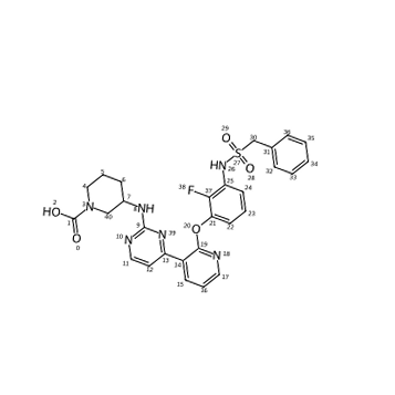 O=C(O)N1CCCC(Nc2nccc(-c3cccnc3Oc3cccc(NS(=O)(=O)Cc4ccccc4)c3F)n2)C1